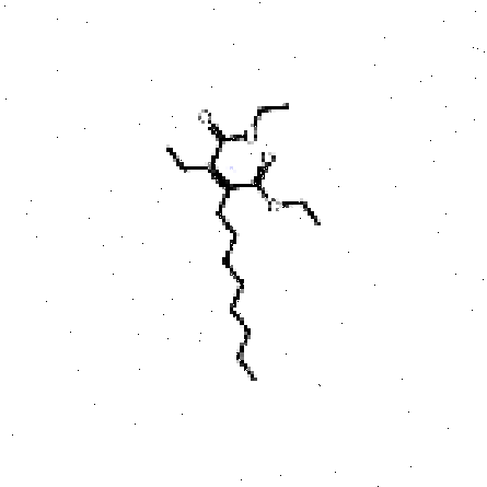 CCCCCCCC/C(C(=O)OCC)=C(\CC)C(=O)OCC